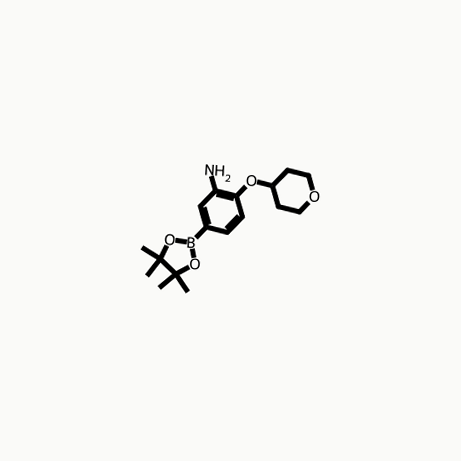 CC1(C)OB(c2ccc(OC3CCOCC3)c(N)c2)OC1(C)C